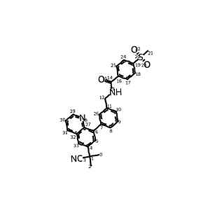 CC(C)(C#N)c1cc(-c2cccc(CNC(=O)c3ccc(S(C)(=O)=O)cc3)c2)c2ncccc2c1